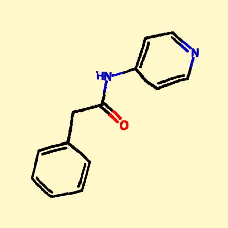 O=C(Cc1ccccc1)Nc1ccncc1